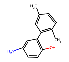 Cc1ccc(C)c(-c2cc(N)ccc2O)c1